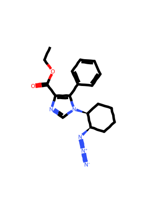 CCOC(=O)c1ncn([C@H]2CCCC[C@H]2N=[N+]=[N-])c1-c1ccccc1